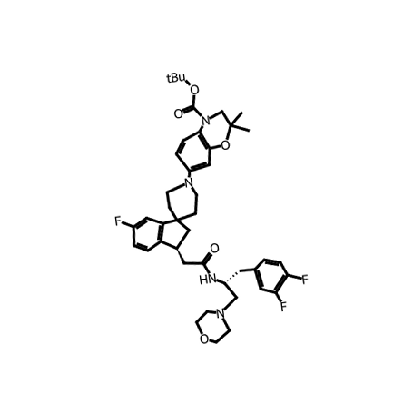 CC(C)(C)OC(=O)N1CC(C)(C)Oc2cc(N3CCC4(CC3)C[C@@H](CC(=O)N[C@H](Cc3ccc(F)c(F)c3)CN3CCOCC3)c3ccc(F)cc34)ccc21